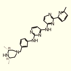 Cc1cccc(-c2nccc(Nc3ccnc(Nc4cccc(CN5C[C@@H](C)N[C@@H](C)C5)c4)n3)n2)n1